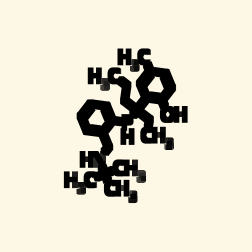 CCCC(CC)(Pc1ccccc1CNC(C)(C)C)c1cc(C)ccc1O